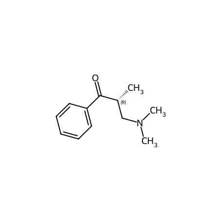 C[C@H](CN(C)C)C(=O)c1ccccc1